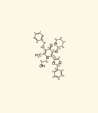 Cc1c(OCc2ccccc2)c(=O)c(OC2CCCCO2)c(C2=COC(c3ccccc3)O2)n1CCO